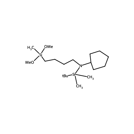 CO[Si](C)(CCCCN(C1CCCCC1)[Si](C)(C)C(C)(C)C)OC